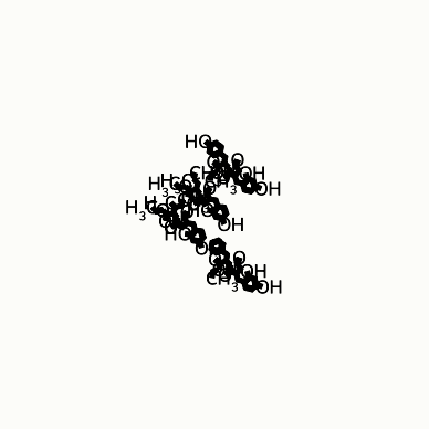 CCOC(=O)C(C(C)CC)N1C(=O)CC(Cc2ccc(O)cc2O)C1=O.CCOC(=O)C(CC(C)C)N1C(=O)CC(Cc2ccc(O)cc2O)C1=O.CCOC(=O)C(Cc1ccc(O)cc1)N1C(=O)CC(Cc2ccc(O)cc2O)C1=O.CCOC(=O)C(Cc1ccccc1)N1C(=O)CC(Cc2ccc(O)cc2O)C1=O